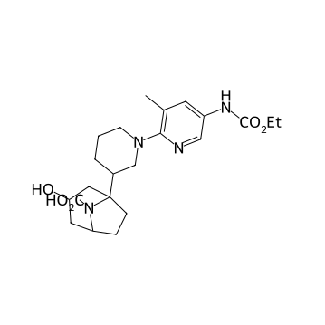 CCOC(=O)Nc1cnc(N2CCCC(C34CCC(CC(O)C3)N4C(=O)O)C2)c(C)c1